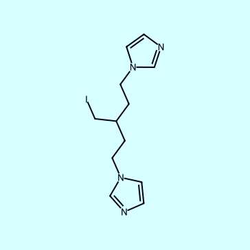 ICC(CCn1ccnc1)CCn1ccnc1